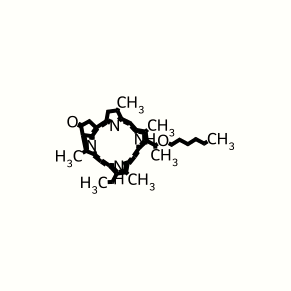 CCCCCCOC(C)c1c(C)c2cc3nc(c4c5nc(cc6[nH]c(cc1[nH]2)c(C)c6CC)C(C)=C5C(=O)C4)CC3C